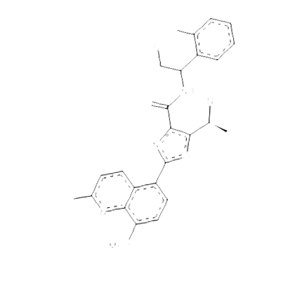 COc1ccc(-c2nc(C(=O)NC(CO)c3ccccc3F)c([C@H](C)N)o2)c2ccc(C(F)(F)F)nc12